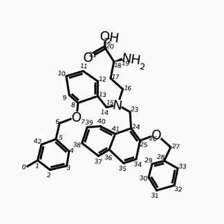 Cc1cccc(COc2ccccc2CN(CC[C@H](N)C(=O)O)Cc2c(OCc3ccccc3)ccc3ccccc23)c1